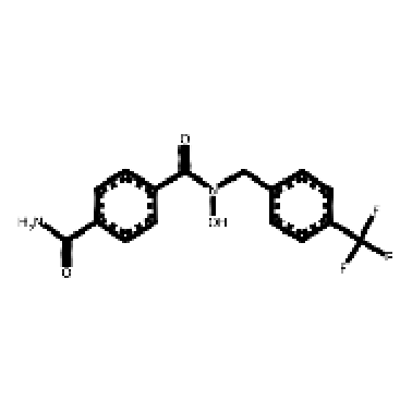 NC(=O)c1ccc(C(=O)N(O)Cc2ccc(C(F)(F)F)cc2)cc1